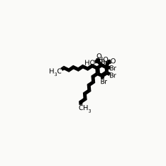 CCCCCCCCC1=C(CCCCCCCC)C(Br)(C(=O)O)C(Br)(C(=O)O)C(Br)=C1Br